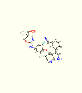 CC1(CO)CN=C(Nc2cc(F)c(Oc3ccnc4[nH]cc(-c5cccc(C#N)c5)c34)c(F)c2)OC1